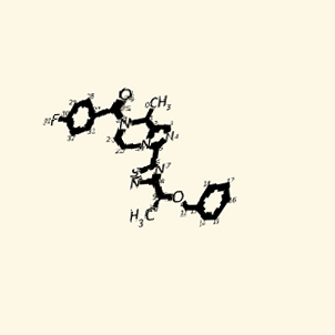 CC1c2cnc(-c3nc([C@H](C)OCc4ccccc4)ns3)n2CCN1C(=O)c1ccc(F)cc1